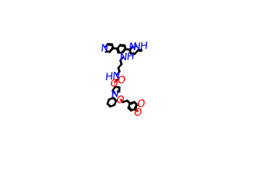 C=C1CCC(c2ccc(-c3ccncc3)cc2NCCCCNC(=O)O[C@@H]2CCN([C@@H]3CCCC[C@H]3OCCc3ccc(OC)c(OC)c3)C2)=NN1